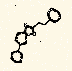 c1ccc(CCc2nc3ccc(-c4ccccc4)cc3o2)cc1